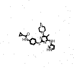 Cc1c(Nc2cc[nH]n2)nc(Sc2ccc(NC(=O)C3CC3)cc2)nc1N1CCN(C)CC1